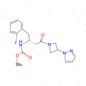 CC(C)(C)OC(=O)N[C@@H](CC(=O)N1CC(n2cccn2)C1)Cc1ccccc1F